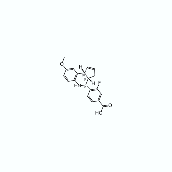 COc1ccc2c(c1)[C@@H]1C=CC[C@@H]1[C@H](c1ccc(C(=O)O)cc1F)N2